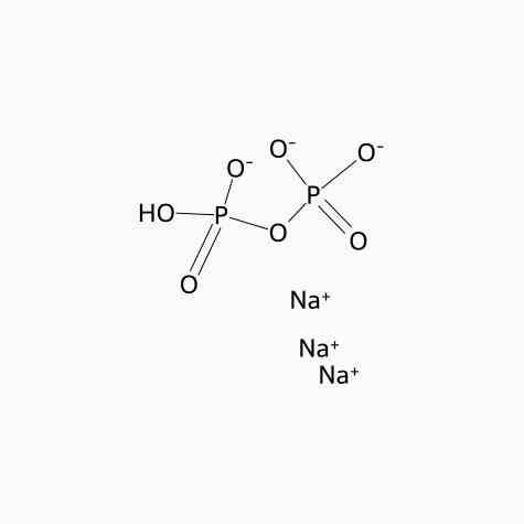 O=P([O-])([O-])OP(=O)([O-])O.[Na+].[Na+].[Na+]